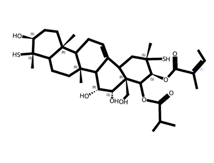 C/C=C(/C)C(=O)O[C@H]1C(OC(=O)C(C)C)[C@@]2(CO)C(C[C@]1(C)S)C1=CCC3[C@@](C)(CCC4[C@]3(C)CC[C@H](O)[C@@]4(C)S)C1[C@@H](O)[C@H]2O